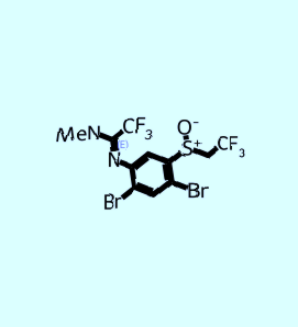 CN/C(=N/c1cc([S+]([O-])CC(F)(F)F)c(Br)cc1Br)C(F)(F)F